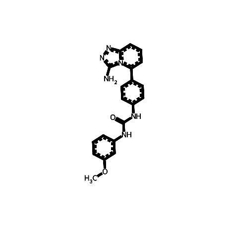 COc1cccc(NC(=O)Nc2ccc(-c3cccc4nnc(N)n34)cc2)c1